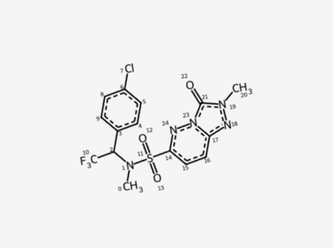 CN(C(c1ccc(Cl)cc1)C(F)(F)F)S(=O)(=O)c1ccc2nn(C)c(=O)n2n1